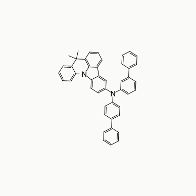 CC1(C)c2ccccc2-n2c3ccc(N(c4ccc(-c5ccccc5)cc4)c4cccc(-c5ccccc5)c4)cc3c3cccc1c32